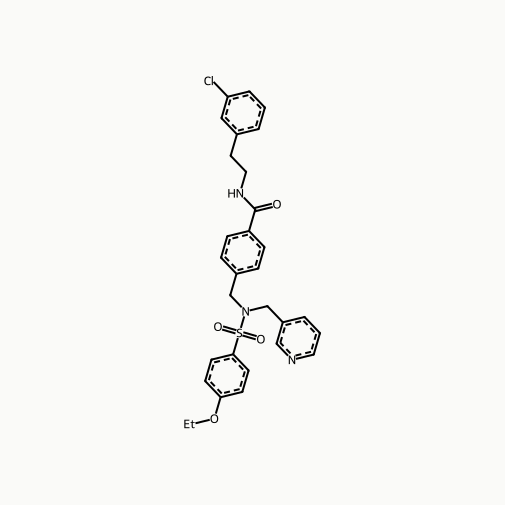 CCOc1ccc(S(=O)(=O)N(Cc2ccc(C(=O)NCCc3cccc(Cl)c3)cc2)Cc2cccnc2)cc1